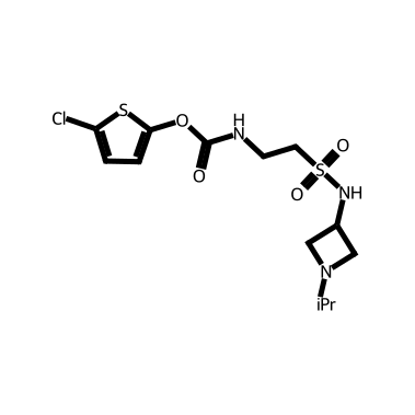 CC(C)N1CC(NS(=O)(=O)CCNC(=O)Oc2ccc(Cl)s2)C1